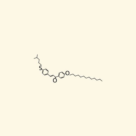 CCCCCCCCCCCCCOc1ccc(C(=O)C=Cc2ccc(SCCCC(C)C)cc2)cc1